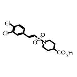 O=C(O)C1CCN(S(=O)(=O)C=Cc2ccc(Cl)c(Cl)c2)CC1